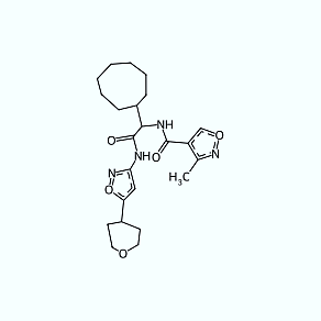 Cc1nocc1C(=O)NC(C(=O)Nc1cc(C2CCOCC2)on1)C1CCCCCCC1